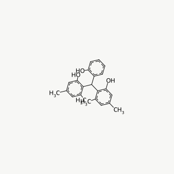 Cc1cc(C)c(C(c2ccccc2O)c2c(C)cc(C)cc2O)c(O)c1